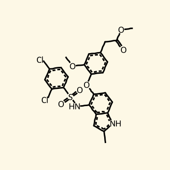 COC(=O)Cc1ccc(Oc2ccc3[nH]c(C)cc3c2NS(=O)(=O)c2ccc(Cl)cc2Cl)c(OC)c1